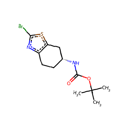 CC(C)(C)OC(=O)N[C@@H]1CCc2nc(Br)sc2C1